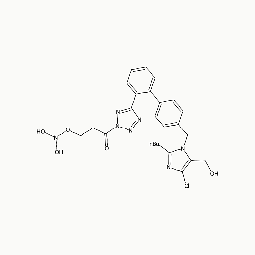 CCCCc1nc(Cl)c(CO)n1Cc1ccc(-c2ccccc2-c2nnn(C(=O)CCON(O)O)n2)cc1